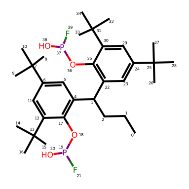 CCCC(c1cc(C(C)(C)C)cc(C(C)(C)C)c1OP(O)F)c1cc(C(C)(C)C)cc(C(C)(C)C)c1OP(O)F